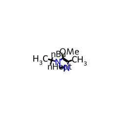 CCCCCCCC(C)(CCCC)n1cnc(C)c1OC